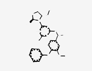 CC[C@H]1COC(=O)N1c1nc(C)nc(N[C@@H](C)c2ccc(Oc3ccccc3)c(OC)c2)n1